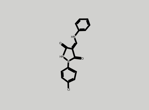 O=C1NN(c2ccc(Cl)cc2)C(=O)/C1=C/Nc1ccccc1